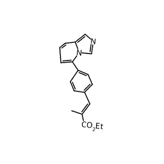 CCOC(=O)C(C)=Cc1ccc(-c2cccc3cncn23)cc1